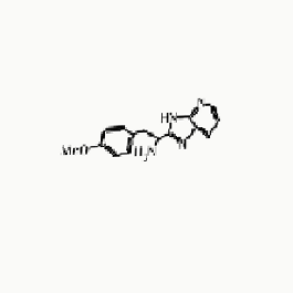 COc1ccc(CC(N)c2nc3cccnc3[nH]2)cc1